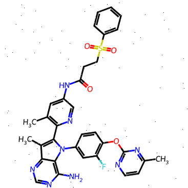 Cc1ccnc(Oc2ccc(-n3c(-c4ncc(NC(=O)CCS(=O)(=O)c5ccccc5)cc4C)c(C)c4ncnc(N)c43)cc2F)n1